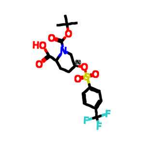 CC(C)(C)OC(=O)N1C[C@@H](OS(=O)(=O)c2ccc(C(F)(F)F)cc2)CCC1C(=O)O